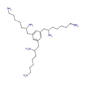 NCCCCCC(N)Cc1cc(CC(N)CCCCCN)cc(CC(N)CCCCCN)c1